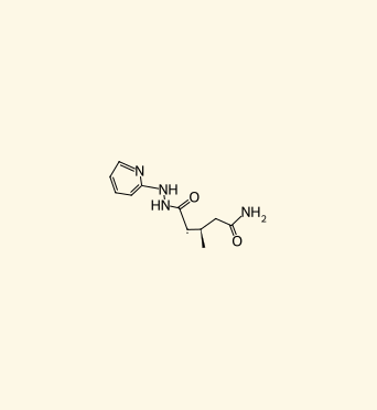 C[C@@H]([CH]C(=O)NNc1ccccn1)CC(N)=O